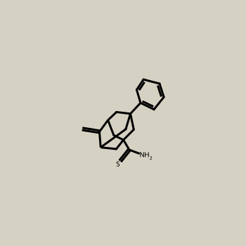 C=C1C2CC3(C(N)=S)CC1CC(c1ccccc1)(C2)C3